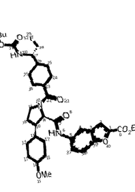 CCOC(=O)c1cc2cc(NC(=O)[C@H]3[C@@H](C4CCC(OC)CC4)CCN3C(=O)C3CCC([C@@H](CF)NC(=O)OC(C)(C)C)CC3)ccc2o1